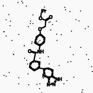 CC(C)OC(=O)COc1ccc(NC(=O)c2cccc(-c3ccc4[nH]nnc4n3)c2)cc1